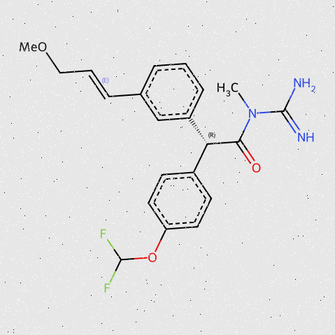 COC/C=C/c1cccc([C@H](C(=O)N(C)C(=N)N)c2ccc(OC(F)F)cc2)c1